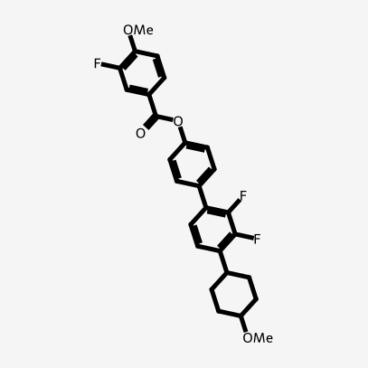 COc1ccc(C(=O)Oc2ccc(-c3ccc(C4CCC(OC)CC4)c(F)c3F)cc2)cc1F